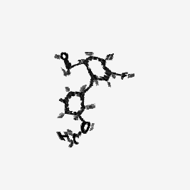 COc1cccc(-c2cc(F)ccc2C=O)c1